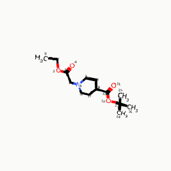 CCOC(=O)CN1CCC(C(=O)OC(C)(C)C)CC1